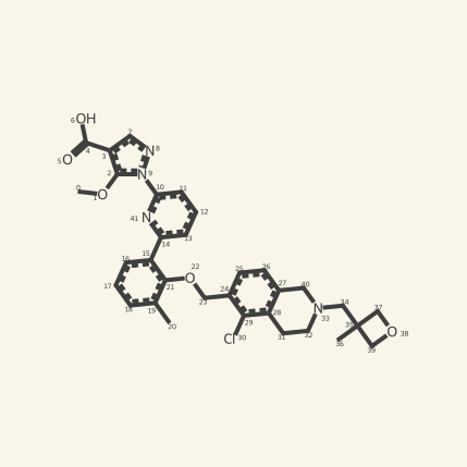 COc1c(C(=O)O)cnn1-c1cccc(-c2cccc(C)c2OCc2ccc3c(c2Cl)CCN(CC2(C)COC2)C3)n1